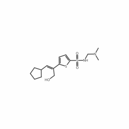 CN(C)CNS(=O)(=O)c1ccc(/C(=C/C2CCCC2)CO)s1